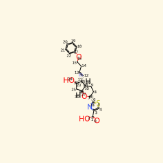 O=C(O)c1csc([C@H]2CC[C@@H]3[C@@H](/C=C/CCOc4ccccc4)[C@H](O)C[C@@H]3O2)n1